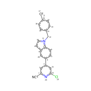 N#Cc1cc(-c2ccc3c(ccn3Cc3ccc(C(F)(F)F)cc3)c2)cc(Cl)n1